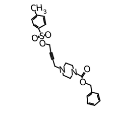 Cc1ccc(S(=O)(=O)OCC#CCN2CCN(C(=O)OCc3ccccc3)CC2)cc1